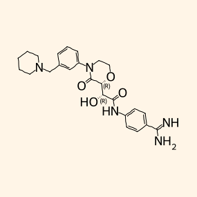 N=C(N)c1ccc(NC(=O)[C@H](O)[C@H]2OCCN(c3cccc(CN4CCCCC4)c3)C2=O)cc1